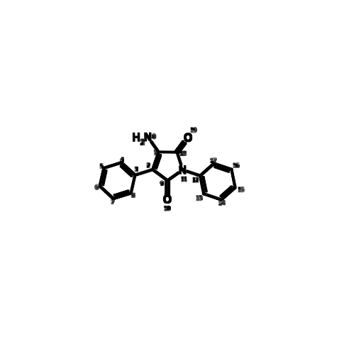 NC1=C(c2ccccc2)C(=O)N(c2ccccc2)C1=O